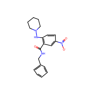 O=C(NCc1ccccc1)c1cc([N+](=O)[O-])ccc1NN1CCCCC1